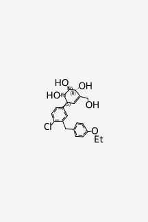 CCOc1ccc(Cc2cc([C@@H]3C=C(CO)[C@@H](O)[C@H](O)[C@H]3O)ccc2Cl)cc1